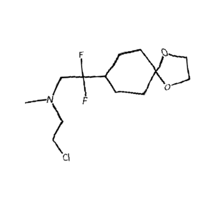 CN(CCCl)CC(F)(F)C1CCC2(CC1)OCCO2